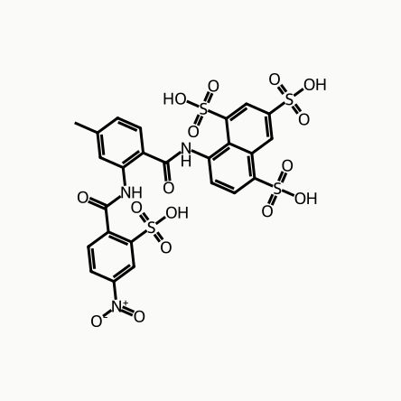 Cc1ccc(C(=O)Nc2ccc(S(=O)(=O)O)c3cc(S(=O)(=O)O)cc(S(=O)(=O)O)c23)c(NC(=O)c2ccc([N+](=O)[O-])cc2S(=O)(=O)O)c1